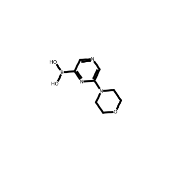 OB(O)c1cncc(N2CCOCC2)n1